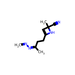 C=N/N=C(/C)CCC1=CC(C)(C#N)N1